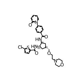 O=C(N[C@H]1C[C@H](COCCN2CCOCC2)C[C@H]1NC(=O)c1ccc(Cl)s1)c1ccc(-n2ccccc2=O)cc1